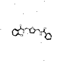 O=C(NC[C@H]1CC[C@@H](CNC(=O)c2ccccc2Cl)O1)c1ccccc1